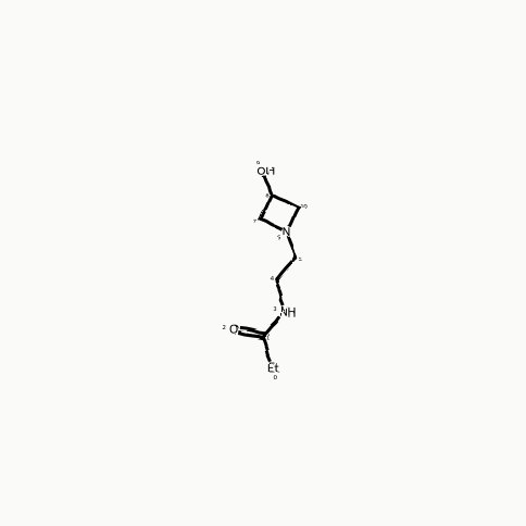 CCC(=O)NCCN1CC(O)C1